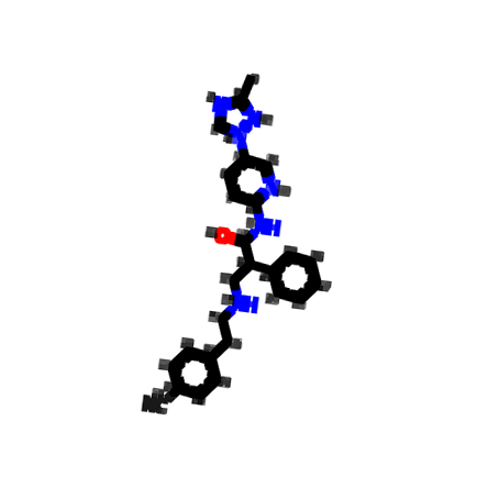 Cc1ncn(-c2ccc(NC(=O)C(CNCCc3ccc(C#N)cc3)c3ccccc3)nc2)n1